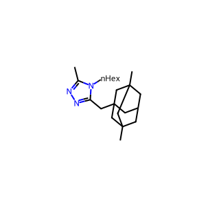 CCCCCCn1c(C)nnc1CC12CC3CC(C)(CC(C)(C3)C1)C2